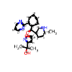 C[C@@H]1CC[C@](C(=O)c2ccccc2-c2ncccn2)(c2cc(C(C)(C)O)no2)CN1